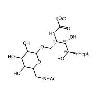 CCCCCCCCC(=O)N[C@@H](COC1OC(CNC(C)=O)C(O)C(O)C1O)[C@H](O)[C@H](O)CCCCCCC